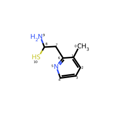 Cc1cccnc1CC(N)S